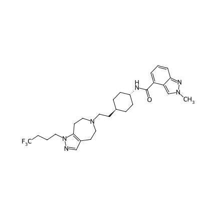 Cn1cc2c(C(=O)N[C@H]3CC[C@H](CCN4CCc5cnn(CCCC(F)(F)F)c5CC4)CC3)cccc2n1